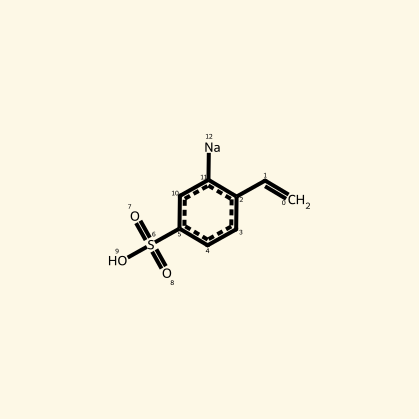 C=Cc1ccc(S(=O)(=O)O)c[c]1[Na]